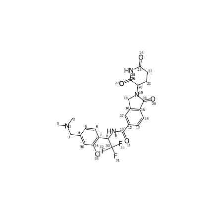 CN(C)Cc1ccc(C(NC(=O)c2ccc3c(c2)CN(C2CCC(=O)NC2=O)C3=O)C(F)(F)F)c(Cl)c1